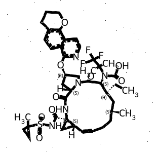 CC[C@@H]1C[C@@H](C)CCC=C[C@@H]2C[C@@]2(C(=O)NS(=O)(=O)C2(C)CC2)NC(=O)[C@@H]2C[C@@H](Oc3nccc4c5c(ccc34)CCCO5)CN2C(=O)[C@H]1N(C(=O)O)C(C)(C)C(F)(F)F